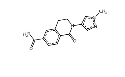 Cn1cc(N2CCc3cc(C(N)=O)ccc3C2=O)cn1